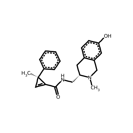 CN1Cc2cc(O)ccc2C[C@H]1CNC(=O)C1=C[C@@]1(C)c1ccccc1